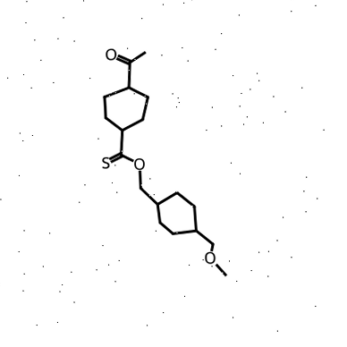 COCC1CCC(COC(=S)C2CCC(C(C)=O)CC2)CC1